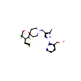 COCc1cccnc1-n1cc(CN2CCC3(CC2)OCC(F)(F)C2C=C(Cl)SC23)c(C)n1